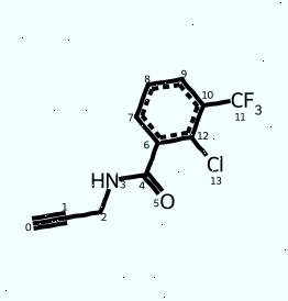 C#CCNC(=O)c1cccc(C(F)(F)F)c1Cl